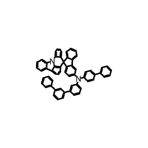 c1ccc(-c2ccc(N(c3cccc(-c4cccc(-c5ccccc5)c4)c3)c3ccc4c(c3)-c3ccccc3C43c4ccccc4-n4c5ccccc5c5cccc3c54)cc2)cc1